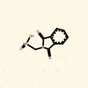 O=C1c2ccccc2C(=O)N1C[PH](=O)O